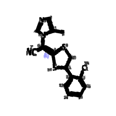 Cc1cncn1/C(C#N)=C1\SCC(c2ccccc2Cl)S1